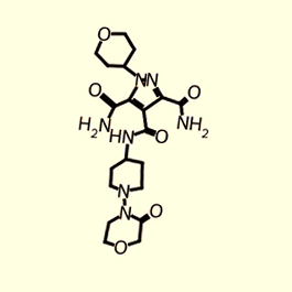 NC(=O)c1nn(C2CCOCC2)c(C(N)=O)c1C(=O)NC1CCN(N2CCOCC2=O)CC1